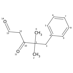 CC(C)(Cc1ccccc1)C(=O)CC=O